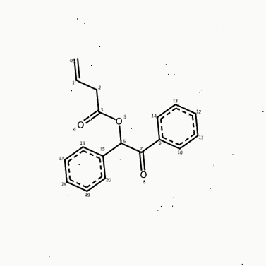 C=CCC(=O)OC(C(=O)c1ccccc1)c1ccccc1